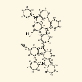 Cc1cc2c(c3ccccc3n2-c2ccccc2)c2c1c1cc(-n3c4cc(C#N)ccc4c4c3ccc3c5ccccc5n(-c5ccccc5)c34)ccc1n2-c1ccccc1